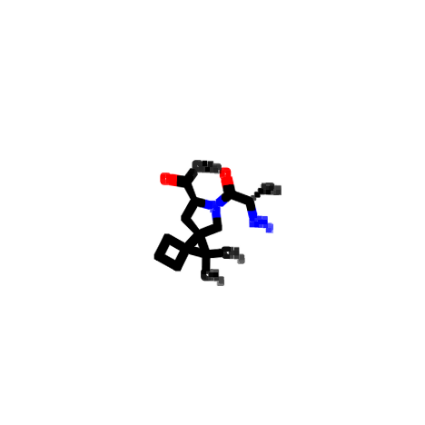 COC(=O)[C@@H]1C[C@@]2(CN1C(=O)[C@@H](N)C(C)(C)C)C(C)(C)C21CCC1